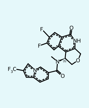 CN(C(=O)c1ccc2cc(C(F)(F)F)cn2c1)[C@@H]1COCc2[nH]c(=O)c3cc(F)c(F)cc3c21